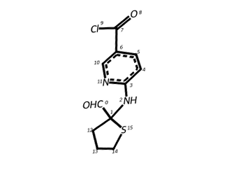 O=CC1(Nc2ccc(C(=O)Cl)cn2)CCCS1